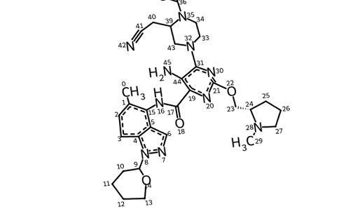 Cc1ccc2c(cnn2C2CCCCO2)c1NC(=O)c1nc(OC[C@@H]2CCCN2C)nc(N2CCN(C(=O)O)C(CC#N)C2)c1N